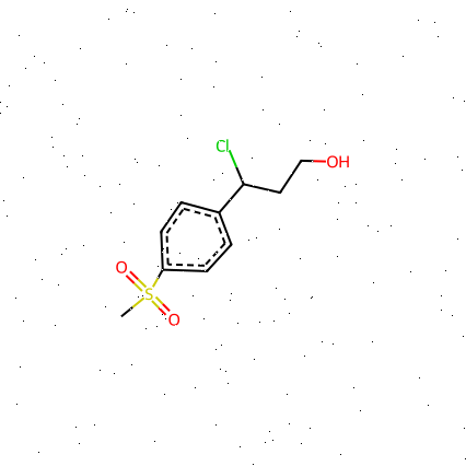 CS(=O)(=O)c1ccc(C(Cl)CCO)cc1